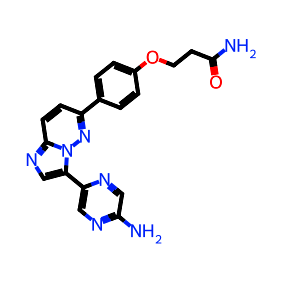 NC(=O)CCOc1ccc(-c2ccc3ncc(-c4cnc(N)cn4)n3n2)cc1